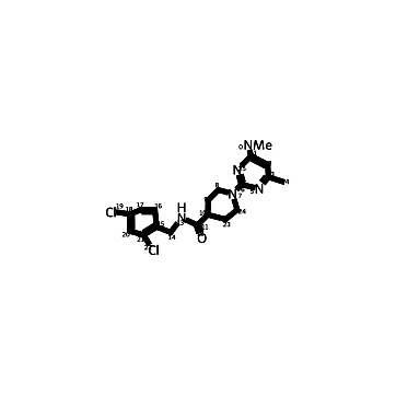 CNc1cc(C)nc(N2CCC(C(=O)NCc3ccc(Cl)cc3Cl)CC2)n1